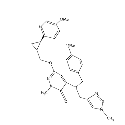 COc1ccc(CN(Cc2cn(C)nn2)c2cc(OCC3C[C@H]3c3ccc(OC)cn3)nn(C)c2=O)cc1